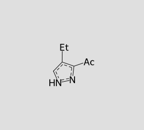 CCc1c[nH]nc1C(C)=O